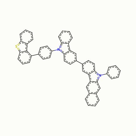 c1ccc(-n2c3ccc(-c4ccc5c(c4)c4ccccc4n5-c4ccc(-c5cccc6sc7ccccc7c56)cc4)cc3c3cc4ccccc4cc32)cc1